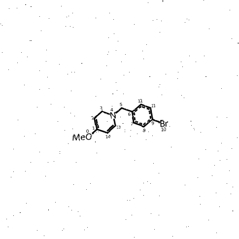 COC1=CCN(Cc2ccc(Br)cc2)C=C1